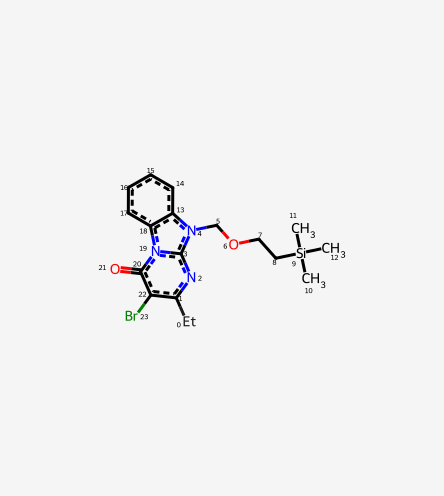 CCc1nc2n(COCC[Si](C)(C)C)c3ccccc3n2c(=O)c1Br